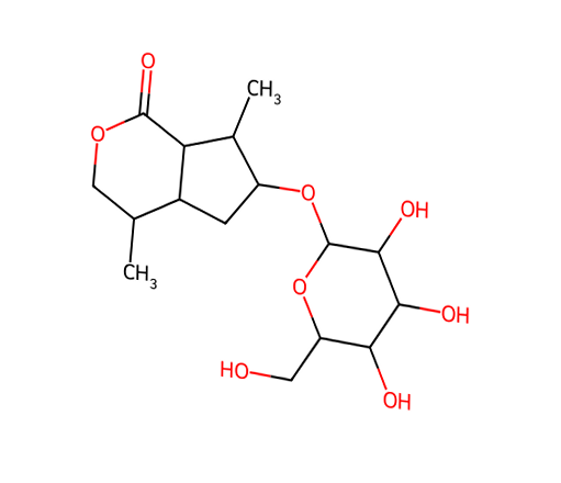 CC1COC(=O)C2C(C)C(OC3OC(CO)C(O)C(O)C3O)CC12